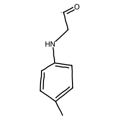 Cc1ccc(NC[C]=O)cc1